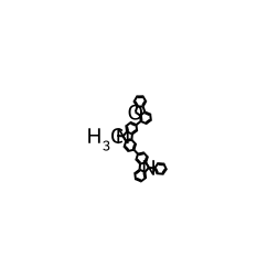 Cn1c2ccc(-c3ccc4c(c3)c3ccccc3n4-c3ccccc3)cc2c2cc(-c3cccc4c3oc3ccccc34)ccc21